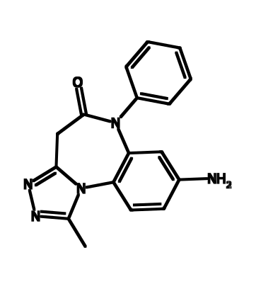 Cc1nnc2n1-c1ccc(N)cc1N(c1ccccc1)C(=O)C2